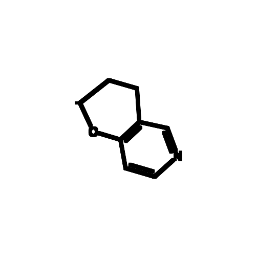 [CH]1CCc2cnccc2O1